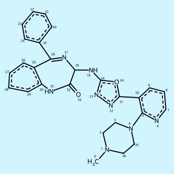 CN1CCN(c2ncccc2-c2nnc(NC3N=C(c4ccccc4)c4ccccc4NC3=O)o2)CC1